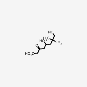 CC(C)(CC#N)CC(O)CC(=O)CC(=O)O